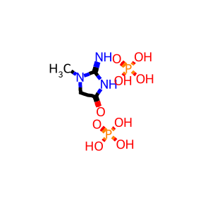 CN1CC(=O)NC1=N.O=P(O)(O)O.O=P(O)(O)O